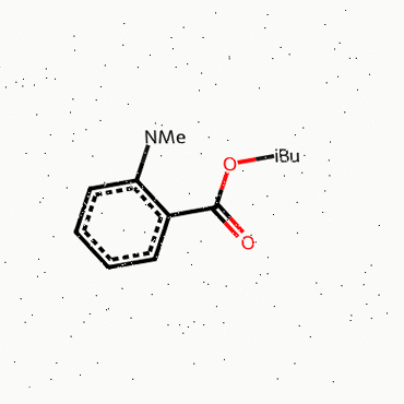 CCC(C)OC(=O)c1ccccc1NC